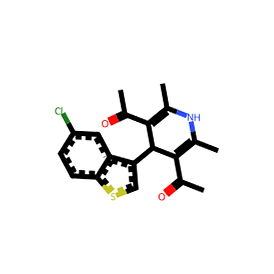 CC(=O)C1=C(C)NC(C)=C(C(C)=O)C1c1csc2ccc(Cl)cc12